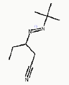 CCC(CC#N)/N=N/C(C)(C)C